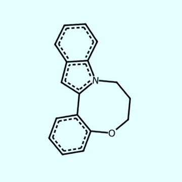 c1ccc2c(c1)OCCCn1c-2cc2ccccc21